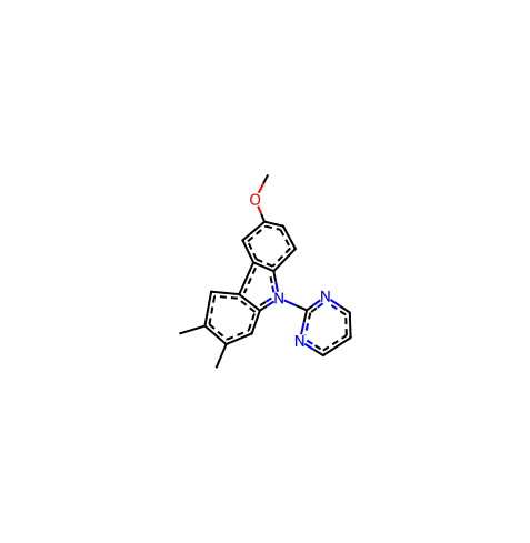 COc1ccc2c(c1)c1cc(C)c(C)cc1n2-c1ncccn1